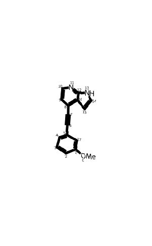 COc1cccc(C#Cc2ccnc3[nH]ccc23)c1